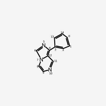 c1ccc(-c2ncn3ccncc23)cc1